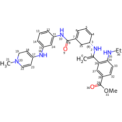 C=C(N[C@H]1C=CC=C(C(=O)Nc2cccc(NC3=CCN(C)C=C3)c2)C1)c1cc(C(=O)OC)ccc1NCC